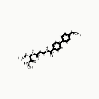 CCc1ccc(-c2ccc(C(=O)NCCC(=O)N[C@@H](CN)C(=O)NO)cc2)cc1